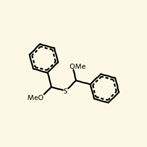 COC(SC(OC)c1ccccc1)c1ccccc1